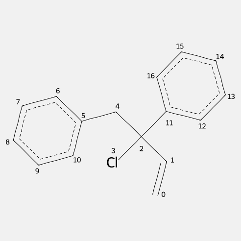 C=CC(Cl)(Cc1ccccc1)c1ccccc1